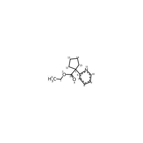 CCOC(=O)C1(c2ccccn2)CCCC1